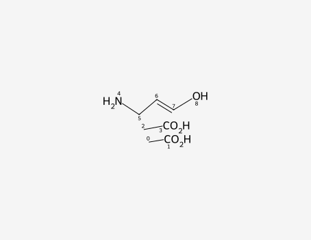 CC(=O)O.CC(=O)O.NCC=CO